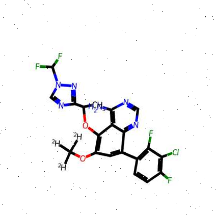 [2H]C([2H])([2H])Oc1cc(-c2ccc(F)c(Cl)c2F)c2ncnc(N)c2c1OC(C)c1ncn(C(F)F)n1